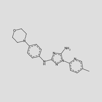 Cc1ccc(-n2nc(Nc3ccc(N4CCOCC4)cc3)nc2N)nc1